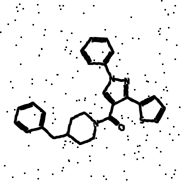 O=C(c1cn(-c2ccccc2)nc1-c1cccs1)N1CCC(Cc2ccccc2)CC1